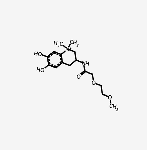 COCCOCC(=O)NC1Cc2cc(O)c(O)cc2[N+](C)(C)C1